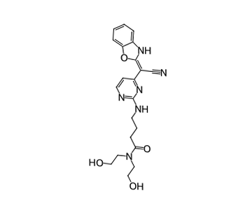 N#CC(=C1Nc2ccccc2O1)c1ccnc(NCCCC(=O)N(CCO)CCO)n1